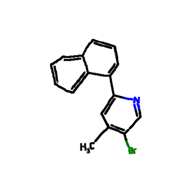 Cc1cc(-c2cccc3ccccc23)ncc1Br